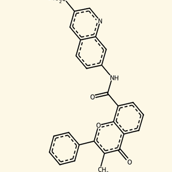 CCOC(=O)c1cnc2cc(NC(=O)c3cccc4c(=O)c(C)c(-c5ccccc5)oc34)ccc2c1